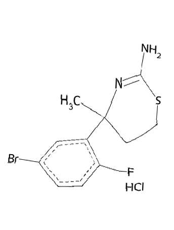 CC1(c2cc(Br)ccc2F)CCSC(N)=N1.Cl